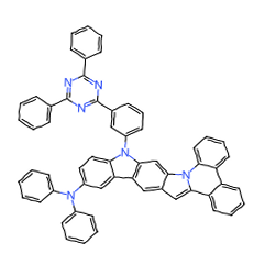 c1ccc(-c2nc(-c3ccccc3)nc(-c3cccc(-n4c5ccc(N(c6ccccc6)c6ccccc6)cc5c5cc6cc7c8ccccc8c8ccccc8n7c6cc54)c3)n2)cc1